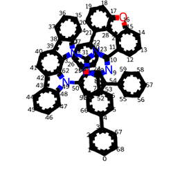 c1ccc(-c2ccc(-c3nc(-c4cccc5oc6cccc(-c7ccccc7)c6c45)nc(-n4c5ccccc5c5ccc6c7ccccc7n(-c7ccc(-c8ccccc8)cc7)c6c54)n3)cc2)cc1